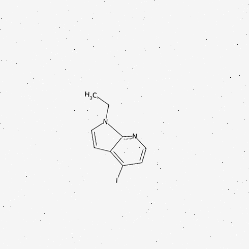 CCn1ccc2c(I)ccnc21